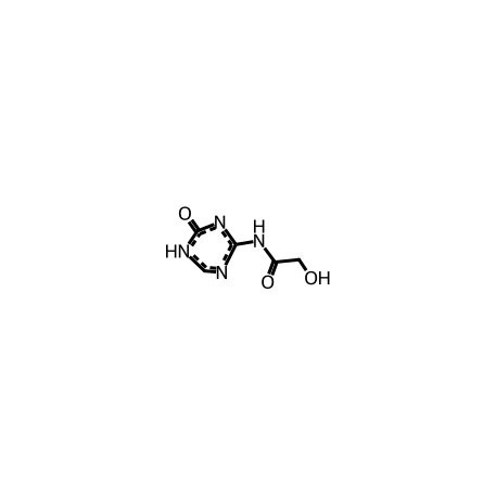 O=C(CO)Nc1nc[nH]c(=O)n1